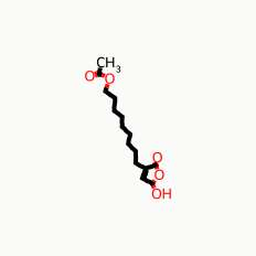 CC(=O)OCCCCCCCCCC1=CC(O)OC1=O